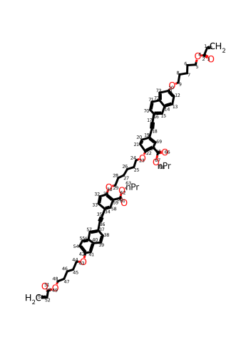 C=CC(=O)OCCCCCOc1ccc2cc(C#Cc3ccc(OCCCCCCOc4ccc(C#Cc5ccc6cc(OCCCCCOC(=O)C=C)ccc6c5)cc4C(=O)OCCC)c(C(=O)OCCC)c3)ccc2c1